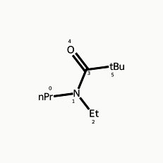 CCCN(CC)C(=O)C(C)(C)C